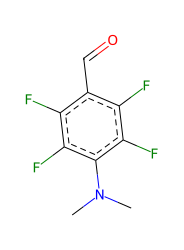 CN(C)c1c(F)c(F)c(C=O)c(F)c1F